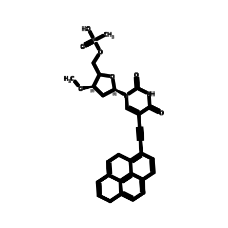 CO[C@@H]1C[C@H](n2cc(C#Cc3ccc4ccc5c6c4c3CC=C6C=CC5)c(=O)[nH]c2=O)OC1COP(C)(=O)O